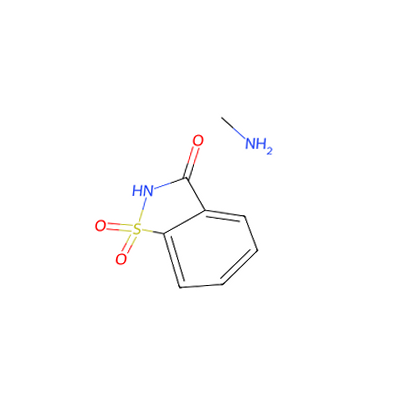 CN.O=C1NS(=O)(=O)c2ccccc21